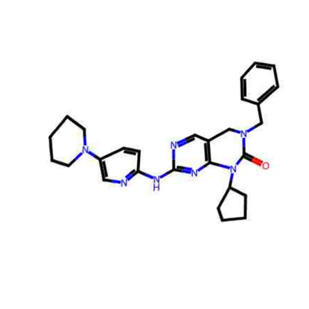 O=C1N(Cc2ccccc2)Cc2cnc(Nc3ccc(N4CCCCC4)cn3)nc2N1C1CCCC1